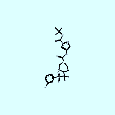 CC(C)(C)OC(=O)n1cc(NC(=O)N2CCC(C(C)(F)S(=O)(=O)c3cccc(F)c3)CC2)cn1